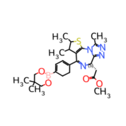 COC(=O)C[C@@H]1N=C(C2=CC=C(B3OCC(C)(C)CO3)CC2)C2=C(SC(C)C2C)n2c(C)nnc21